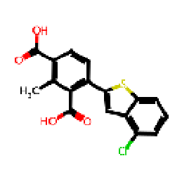 Cc1c(C(=O)O)ccc(-c2cc3c(Cl)cccc3s2)c1C(=O)O